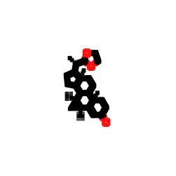 C[C@H](C1OCCO1)C1CCC2C3C(CC[C@@]21C)[C@@]1(C)CCC(=O)C=C1[C@H]1C[C@@H]31